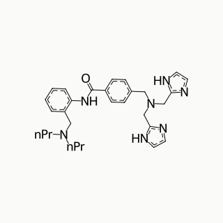 CCCN(CCC)Cc1ccccc1NC(=O)c1ccc(CN(Cc2ncc[nH]2)Cc2ncc[nH]2)cc1